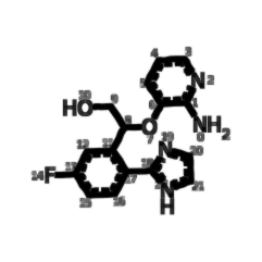 Nc1ncccc1OC(CO)c1cc(F)ccc1-c1ncc[nH]1